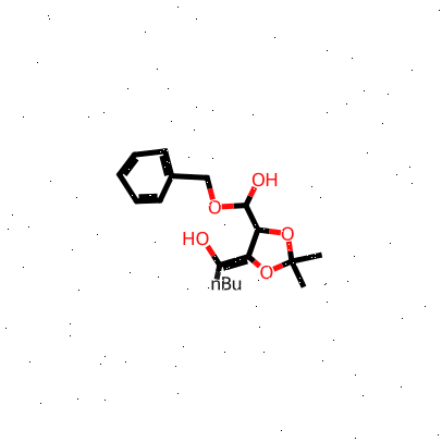 CCCC/C(O)=C1\OC(C)(C)OC1C(O)OCc1ccccc1